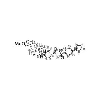 COC[C@@]1(O)CC[C@@]2(C)[C@@H](CC[C@@H]3[C@@H]2CC[C@]2(C)[C@@H](C(=O)CS(=O)(=O)c4ccc(N5CCCC5)cc4)CC[C@@H]32)C1